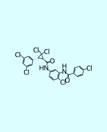 O=C(Nc1cc(NC(=O)[C@H]2[C@H](c3cc(Cl)cc(Cl)c3)C2(Cl)Cl)ccc1Cl)c1ccc(Cl)cc1